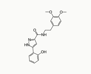 COc1ccc(CCNC(=O)c2cc(-c3ccccc3O)[nH]n2)cc1OC